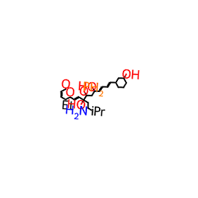 CCC1C=CC(=O)OC1C=CC(O)(CC(N)C(C)C)C(CC(O)C=CC=CC1CCCC(O)C1)OP